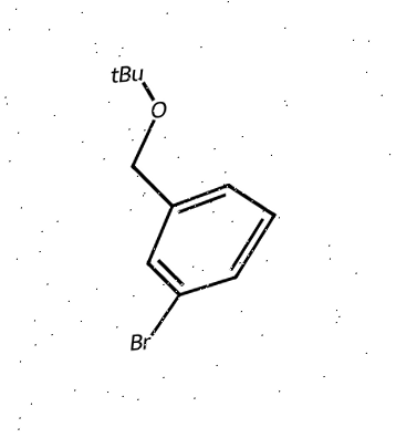 CC(C)(C)OCc1cccc(Br)c1